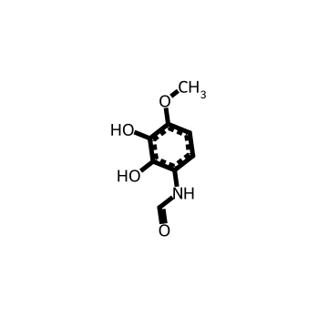 COc1ccc(NC=O)c(O)c1O